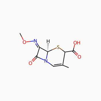 CO/N=C1\C(=O)N2C=C(C)C(C(=O)O)S[C@H]12